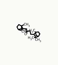 CC12CCC(C1)C(C)(C)C2CCC(=O)CC1CC2CCC1(C)C2(C)C